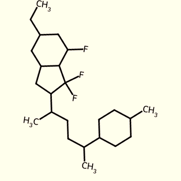 CCC1CC(F)C2C(C1)CC(C(C)CCC(C)C1CCC(C)CC1)C2(F)F